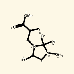 COC(=O)C(C)CN1C(C(C)C)CN([SiH3])C1(C(C)C)C(C)C